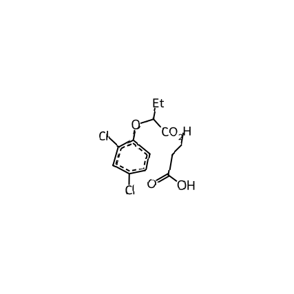 CCC(Oc1ccc(Cl)cc1Cl)C(=O)O.CCCC(=O)O